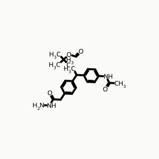 CC(=O)Nc1ccc(C(C)c2ccc(CC(=O)NN)cc2)cc1.CC(C)(C)OC=O